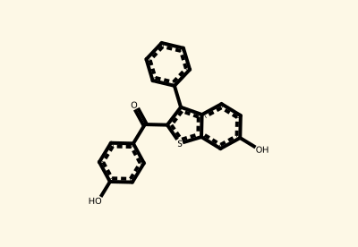 O=C(c1ccc(O)cc1)c1sc2cc(O)ccc2c1-c1ccccc1